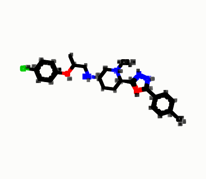 CC(CN[C@H]1CC[C@H](c2nnc(-c3ccc(C(F)(F)F)cc3)o2)N(C(=O)O)C1)Oc1ccc(Cl)cc1